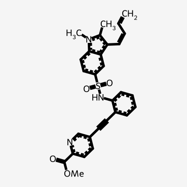 C=C/C=C\c1c(C)n(C)c2ccc(S(=O)(=O)Nc3ccccc3C#Cc3ccc(C(=O)OC)nc3)cc12